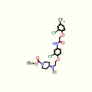 CCN(CCOc1ccc(NC(=O)COc2ccc(C(F)(F)F)cc2Cl)cc1Cl)C1CCN(C(=O)OC(C)(C)C)CC1